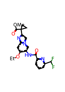 CCOc1cc2nc(C3(C(=O)OC)CC3)cn2cc1NC(=O)c1cccc(C(F)F)n1